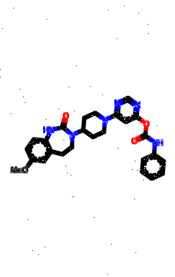 COc1ccc2c(c1)CCN(C1CCN(c3cc(OC(=O)Nc4ccccc4)ncn3)CC1)C(=O)N2